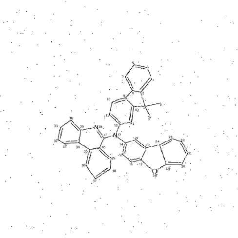 CC1(C)c2ccccc2-c2ccc(N(c3ccc4oc5ccccc5c4c3)c3nc4ccccc4c4ccccc34)cc21